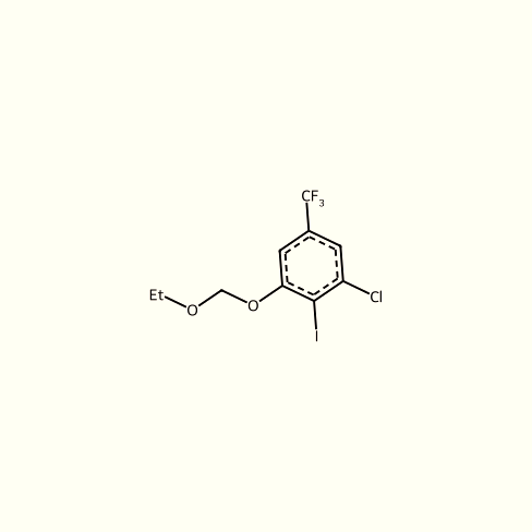 CCOCOc1cc(C(F)(F)F)cc(Cl)c1I